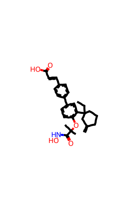 C=C1CCCC(CC)(c2cc(-c3ccc(/C=C/C(=O)O)cc3)ccc2OC(C)(C)C(=O)NO)C1